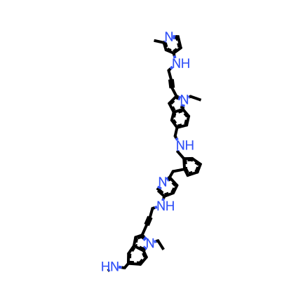 CCn1c(C#CCNc2ccc(Cc3ccccc3CNCc3ccc4c(c3)cc(C#CCNc3ccnc(C)c3)n4CC)nc2)cc2cc(CNC)ccc21